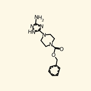 Nc1n[nH]c(N2CCN(C(=O)OCc3ccccc3)CC2)n1